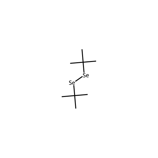 CC(C)(C)[Se][Se]C(C)(C)C